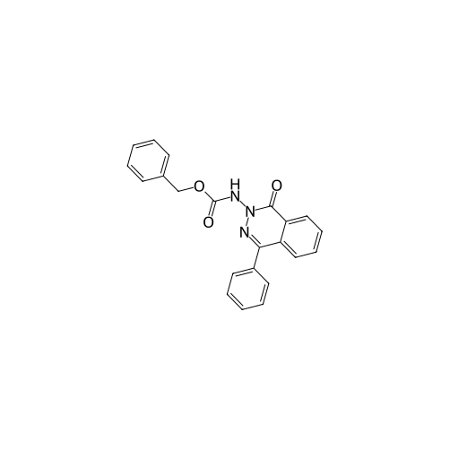 O=C(Nn1nc(-c2ccccc2)c2ccccc2c1=O)OCc1ccccc1